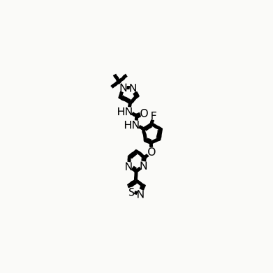 CC(C)(C)n1cc(NC(=O)Nc2cc(Oc3ccnc(-c4cnsc4)n3)ccc2F)cn1